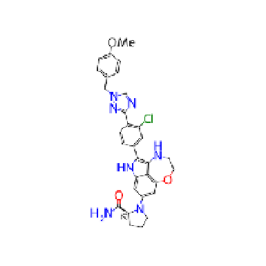 COc1ccc(Cn2cnc(-c3ccc(-c4[nH]c5cc(N6CCC[C@H]6C(N)=O)cc6c5c4NCCO6)cc3Cl)n2)cc1